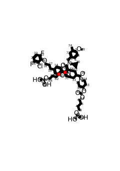 COc1ccc(CN(C(=O)C2C(c3ccc(CCCOc4c(F)ccc(F)c4Cl)cc3)CC3CC(C(=O)N4CCC(OC(=O)OCCCCON(O)O)CC4)CC2N3C(=O)OCCCCON(O)O)C2CC2)cc1C